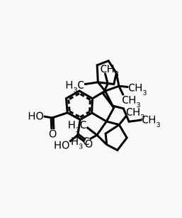 CCCCC1(c2ccc(C(=O)O)c(C(=O)O)c2C2(CCCC)C3(C)CCC(C3)C2(C)C)C2(C)CCC(C2)C1(C)C